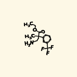 CCOC(=O)C(C)(CN)c1cccc(C(F)(F)F)c1